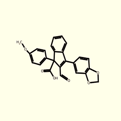 COc1ccc(C2(C(=O)O)C(C=O)=C(c3ccc4c(c3)OCO4)c3ccccc32)cc1